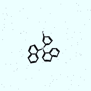 Fc1cccc(N(c2cccc3ccccc23)c2cccc3ccccc23)c1